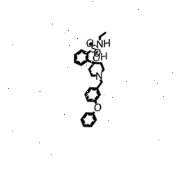 CCNS(=O)(=O)c1ccccc1C1(O)CCN(Cc2cccc(Oc3ccccc3)c2)CC1